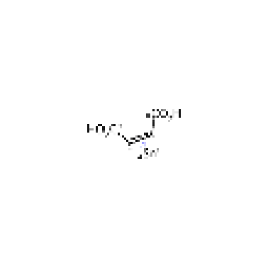 O=C(O)/C=C\C(=O)O.[Sn]